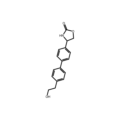 O=C1NC(c2ccc(-c3ccc(CCO)cc3)cc2)CO1